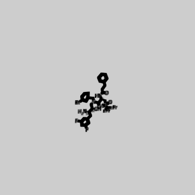 CCCC(CCC)S(=O)(=O)C[C@H](NC(=O)CCc1ccccc1)C(=O)N(Cc1cccc(CC)c1)C[C@@H](O)[C@@H](N)Cc1cc(F)cc(F)c1